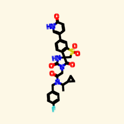 CC(C1CC1)N(Cc1ccc(F)cc1)C(=O)CN1C(=O)NC2(CS(=O)(=O)c3cc(-c4ccc(=O)[nH]c4)ccc32)C1=O